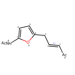 CC(=O)/C=C/Cc1ccc(NC(C)=O)o1